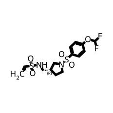 C=CS(=O)(=O)NC[C@H]1CCN(S(=O)(=O)c2ccc(OC(F)F)cc2)C1